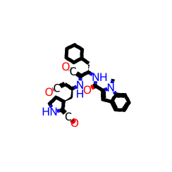 Cn1c(C(=O)N[C@@H](CC2CCCCC2)C(=C=O)N[C@H](C=C=O)C[C@@H]2CCNC2=C=O)cc2ccccc21